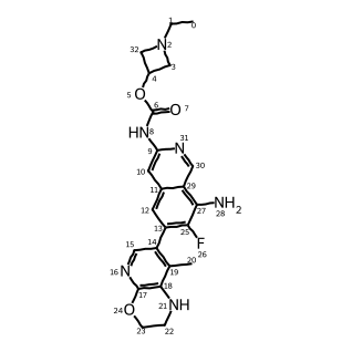 CCN1CC(OC(=O)Nc2cc3cc(-c4cnc5c(c4C)NCCO5)c(F)c(N)c3cn2)C1